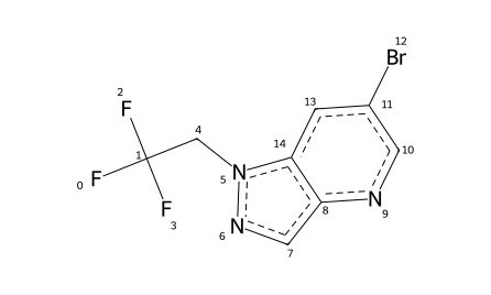 FC(F)(F)Cn1ncc2ncc(Br)cc21